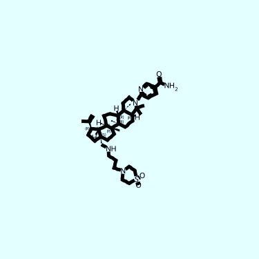 C=C(C)[C@@H]1CC[C@]2(CNCCCN3CCS(=O)(=O)CC3)CC[C@]3(C)[C@H](CC[C@@H]4[C@@]5(C)CCN(c6ccc(C(N)=O)cn6)C(C)(C)[C@@H]5CC[C@]43C)[C@@H]12